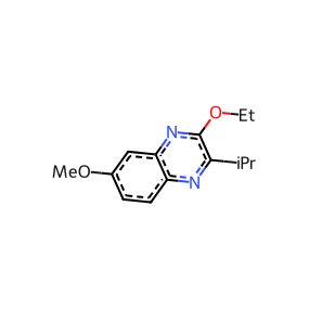 CCOc1nc2cc(OC)ccc2nc1C(C)C